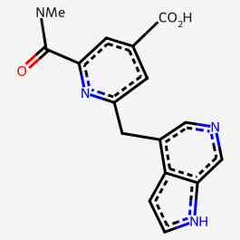 CNC(=O)c1cc(C(=O)O)cc(Cc2cncc3[nH]ccc23)n1